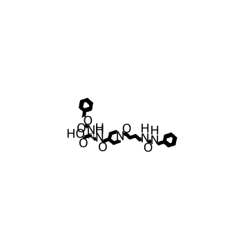 O=C(NCCCC(=O)N1CCC(C(=O)NC[C@H](NC(=O)OCc2ccccc2)C(=O)O)CC1)NCc1ccccc1